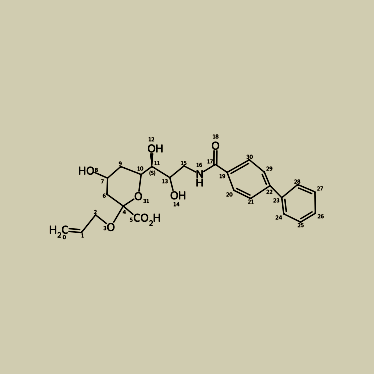 C=CCOC1(C(=O)O)CC(O)CC([C@@H](O)C(O)CNC(=O)c2ccc(-c3ccccc3)cc2)O1